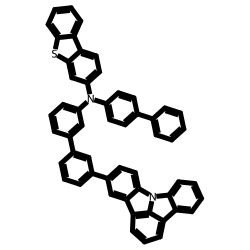 c1ccc(-c2ccc(N(c3cccc(-c4cccc(-c5ccc6c(c5)c5cccc7c8ccccc8n6c75)c4)c3)c3ccc4c(c3)sc3ccccc34)cc2)cc1